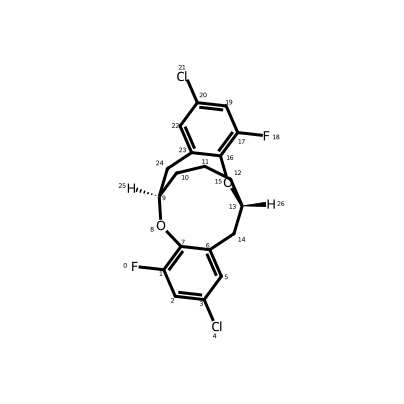 Fc1cc(Cl)cc2c1O[C@@H]1CCC[C@H](C2)Oc2c(F)cc(Cl)cc2C1